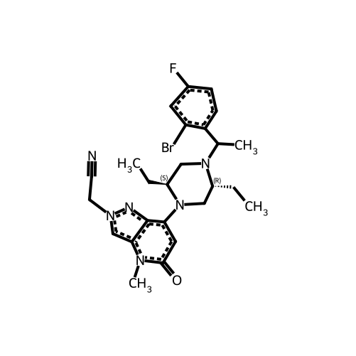 CC[C@H]1CN(C(C)c2ccc(F)cc2Br)[C@H](CC)CN1c1cc(=O)n(C)c2cn(CC#N)nc12